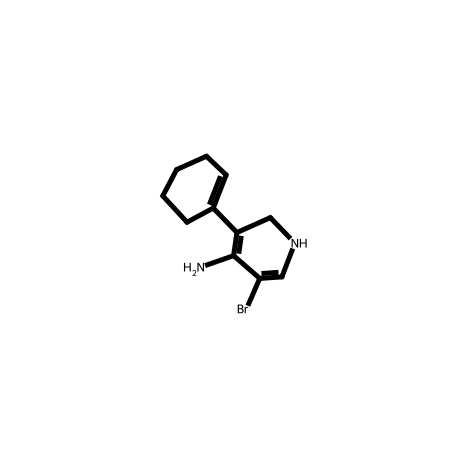 NC1=C(C2=CCCCC2)CNC=C1Br